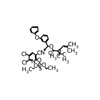 CC(C)=CC1C(C(=O)OC(C#N)c2cccc(Oc3ccccc3)c2)C1(C)C.CCOP(=S)(OCC)Oc1nc(Cl)c(Cl)cc1Cl